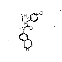 NC[C@@H](C(=O)Nc1ccc2cnccc2c1)c1ccc(Cl)cc1